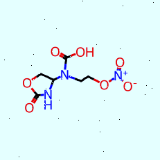 O=C1NC(N(CCO[N+](=O)[O-])C(=O)O)CO1